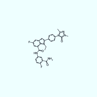 CCn1c(-c2ccc(-n3c(C)nn(C)c3=O)cc2)cc2cc(F)cc(C(=O)Nc3ccc(F)c(C(N)=O)c3)c21